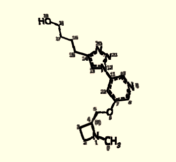 CN1CC[C@H]1COc1cncc(-n2cc(CCCCO)nn2)c1